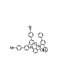 N#Cc1ccc(-c2ccc3c(c2)c2cc(-c4ccc(C#N)cc4)ccc2n3-c2cccc3c2C(=O)N(c2cc(-c4ccccc4)ccc2-c2ccccc2)C3O)cc1